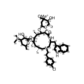 COC1(C)C[C@H](OC2[C@@H](C)C(=O)NC(Cc3c[nH]c4ccccc34)CN(CCc3ccc(Cl)cc3)C[C@H](C)C[C@@](C)(O)[C@H](OC3OC(C)CC(N(C)C)[C@H]3O)[C@H]2C)O[C@@H](C)[C@@H]1O